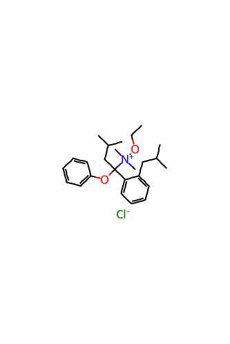 CCO[N+](C)(C)C(CC(C)C)(Oc1ccccc1)c1ccccc1CC(C)C.[Cl-]